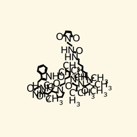 CC[C@H](C)[C@@H]([C@@H](CC(=O)N1CCC[C@H]1[C@H](OC)[C@@H](C)C(=O)N[C@@H](Cc1c[nH]c2ccccc12)C(N)=O)OC)N(C)C(=O)[C@@H](NC(=O)[C@H](C(C)C)N(C)CCCCCCNC(=O)NCCN1C(=O)C=CC1=O)C(C)C